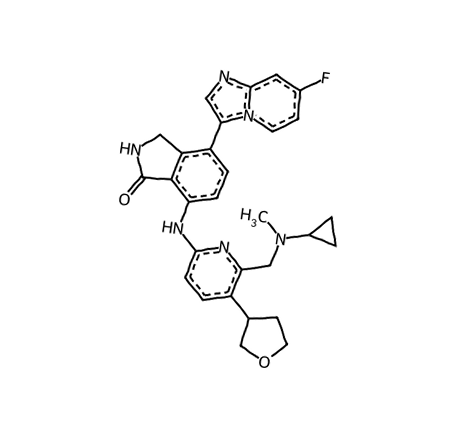 CN(Cc1nc(Nc2ccc(-c3cnc4cc(F)ccn34)c3c2C(=O)NC3)ccc1C1CCOC1)C1CC1